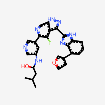 CC(C)CC(O)Nc1cncc(-c2ncc3[nH]nc(-c4nc5c(-c6ccoc6)cccc5[nH]4)c3c2F)c1